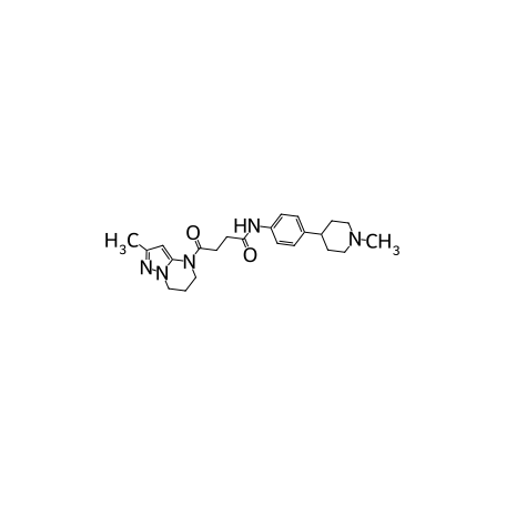 Cc1cc2n(n1)CCCN2C(=O)CCC(=O)Nc1ccc(C2CCN(C)CC2)cc1